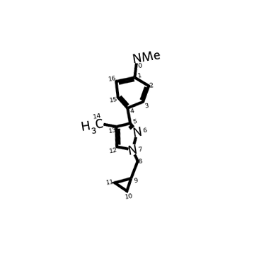 CNc1ccc(-c2nn(CC3CC3)cc2C)cc1